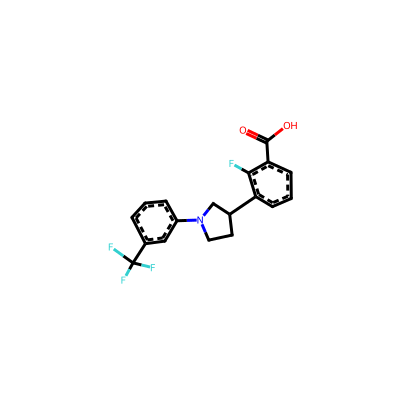 O=C(O)c1cccc(C2CCN(c3cccc(C(F)(F)F)c3)C2)c1F